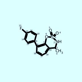 CC1NS(=O)(=O)Oc2c(-c3ccc(F)cc3)cccc21